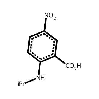 CC(C)Nc1ccc([N+](=O)[O-])cc1C(=O)O